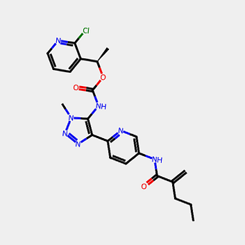 C=C(CCC)C(=O)Nc1ccc(-c2nnn(C)c2NC(=O)O[C@H](C)c2cccnc2Cl)nc1